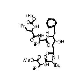 CC[C@H](C)[C@H](NC(=O)CC[C@H](O)[C@H](Cc1ccccc1)NC(=O)C(NC(=O)C(CC(C)C)NC(=O)OC(C)(C)C)C(C)C)C(=O)NC(C(=O)OC)C(C)C